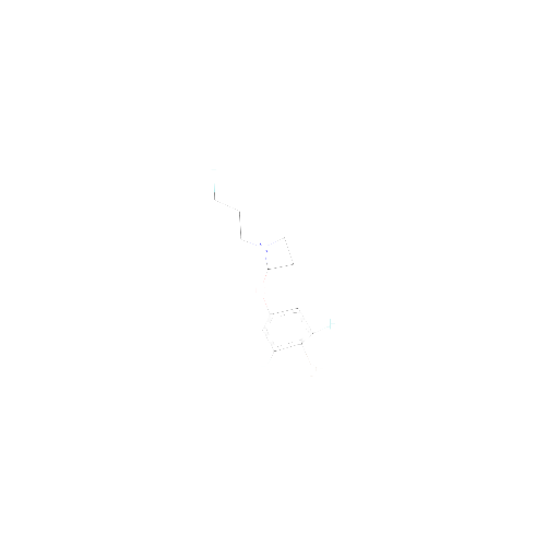 FCCCN1CCC1Oc1cc(F)c(Br)c(F)c1